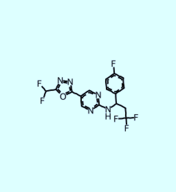 Fc1ccc(C(CC(F)(F)F)Nc2ncc(-c3nnc(C(F)F)o3)cn2)cc1